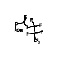 CCCCCCCCOC(=S)SC(F)(F)C(F)(F)C(F)(F)F